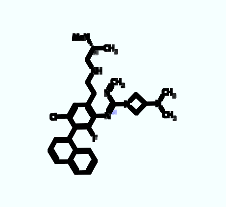 C=N/C(=N\c1c(CCNC[C@@H](C)NC)cc(Cl)c(-c2cccc3ccccc23)c1F)N1CC(N(C)C)C1